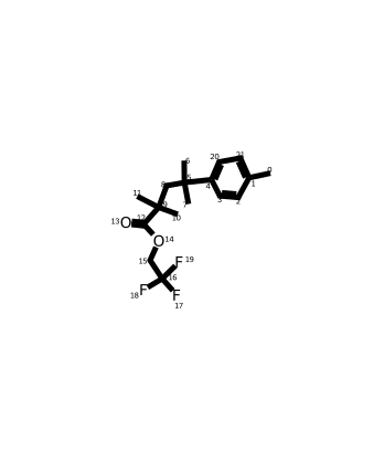 Cc1ccc(C(C)(C)CC(C)(C)C(=O)OCC(F)(F)F)cc1